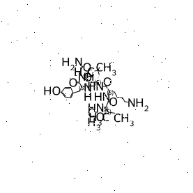 CC[C@H](C)[C@H](NC(C)=O)C(=O)N[C@@H](CCCCN)C(=O)N[C@@H](CC(C)C)C(=O)N[C@@H](Cc1ccc(O)cc1)C(=O)NCC(N)=O